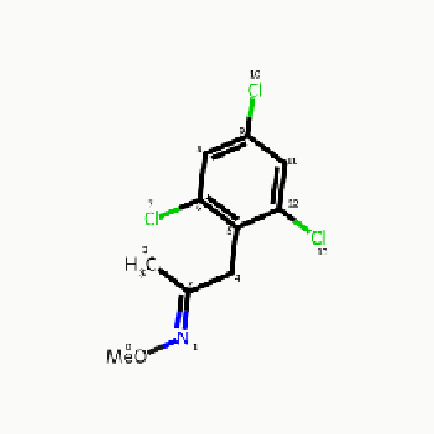 CO/N=C(\C)Cc1c(Cl)cc(Cl)cc1Cl